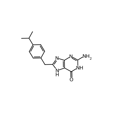 CC(C)c1ccc(Cc2nc3nc(N)[nH]c(=O)c3[nH]2)cc1